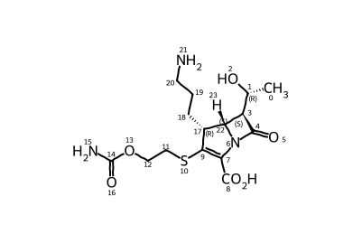 C[C@@H](O)[C@H]1C(=O)N2C(C(=O)O)=C(SCCOC(N)=O)[C@H](CCCN)[C@H]12